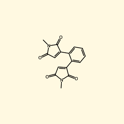 CN1C(=O)C=C(c2ccccc2C2=CC(=O)N(C)C2=O)C1=O